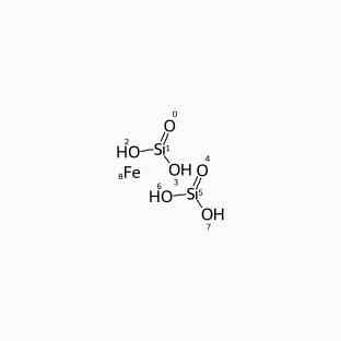 O=[Si](O)O.O=[Si](O)O.[Fe]